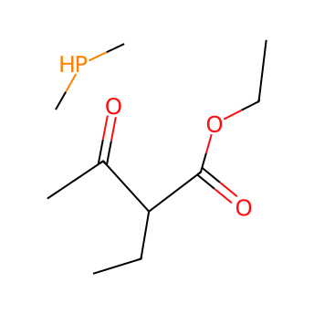 CCOC(=O)C(CC)C(C)=O.CPC